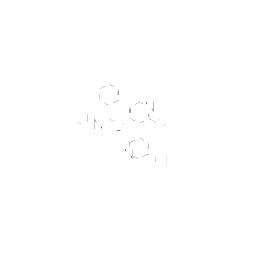 CCN(C(=O)c1ccccc1-c1ccc(=O)n(C)c1)C(C)COc1ccc(C(F)(F)F)cn1